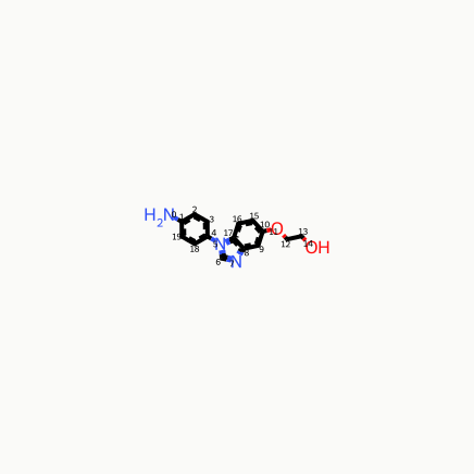 Nc1ccc(-n2cnc3cc(OCCO)ccc32)cc1